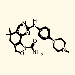 CN1CCN(c2ccc(Nc3ncc4c(n3)C3=C(CON3C(N)=O)CC4(C)C)cc2)CC1